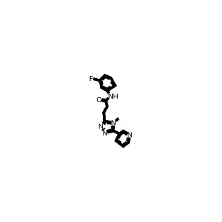 Cn1c(CCC(=O)Nc2cccc(F)c2)nnc1-c1cccnc1